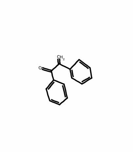 C=C(C(=O)c1ccccc1)c1ccccc1